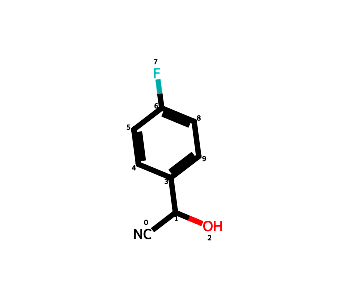 N#CC(O)c1ccc(F)cc1